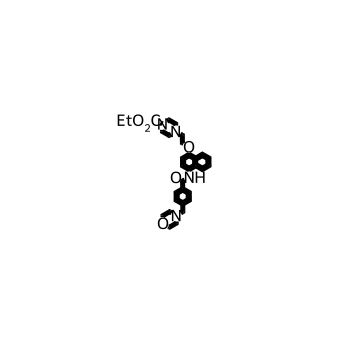 CCOC(=O)N1CCN(CCOc2ccc(NC(=O)c3ccc(CN4CCOCC4)cc3)c3ccccc23)CC1